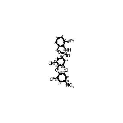 Cc1cccc(C(C)C)c1NS(=O)(=O)c1cc(Cl)c(Oc2ccc([N+](=O)[O-])cc2Cl)c(Cl)c1